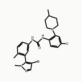 Cc1ccc(NC(=O)Nc2ccc(Cl)cc2N2CCC(C)CC2)cc1-c1c(Br)cnn1C